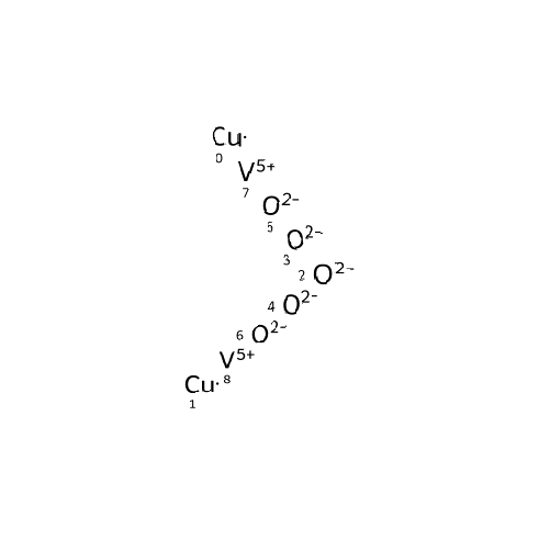 [Cu].[Cu].[O-2].[O-2].[O-2].[O-2].[O-2].[V+5].[V+5]